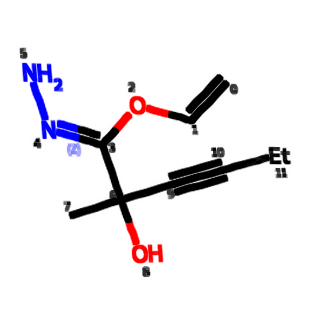 C=CO/C(=N\N)C(C)(O)C#CCC